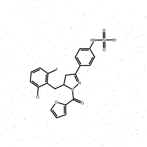 CCS(=O)(=O)Nc1ccc(C2=NN(C(=O)c3ccco3)C(Cc3c(F)cccc3Cl)C2)cc1